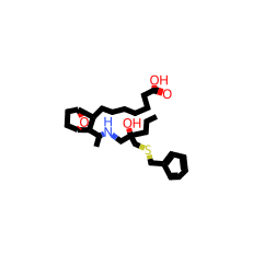 CCCC(O)(CNC(C)C1C2CCC(O2)C1CCCCCCC(=O)O)CSCc1ccccc1